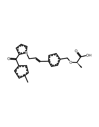 Cc1ccc(C(=O)c2cccn2CC=Cc2ccc(CO[C@H](C)C(=O)O)cc2)cc1